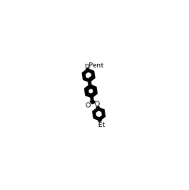 CCCCCC1CC=C(c2ccc(C(=O)OC3CCC(CC)CC3)cc2)CC1